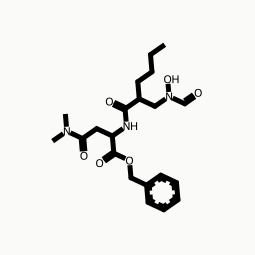 CCCCC(CN(O)C=O)C(=O)NC(CC(=O)N(C)C)C(=O)OCc1ccccc1